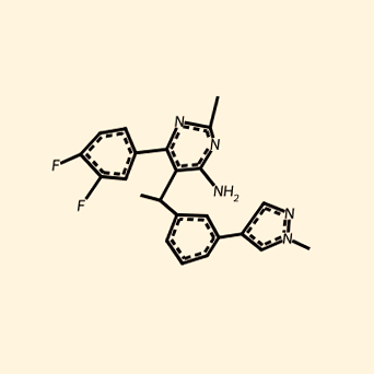 Cc1nc(N)c(C(C)c2cccc(-c3cnn(C)c3)c2)c(-c2ccc(F)c(F)c2)n1